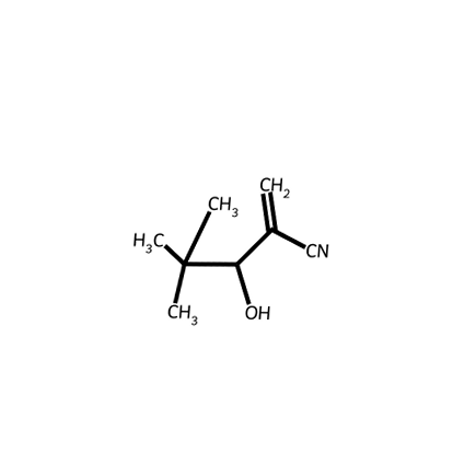 C=C(C#N)C(O)C(C)(C)C